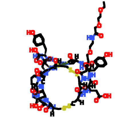 CCOCCOCC(=O)NCCOCCOCC(=O)N[C@H]1CSSC[C@@H]2NC(=O)[C@@H]3CSSC[C@@H](C(=O)N[C@@H](Cc4ccc(O)cc4)C(=O)O)NC(=O)CNC(=O)[C@H]([C@@H](C)O)NC(=O)[C@H](CSSC[C@H](NC1=O)C(=O)N[C@@H](CCC(=O)O)C(=O)N[C@@H](Cc1ccc(O)cc1)C(=O)N3)NC(=O)[C@H](C)NC(=O)[C@@H]1CCCN1C(=O)[C@H](CC(N)=O)NC2=O